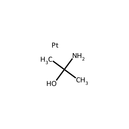 CC(C)(N)O.[Pt]